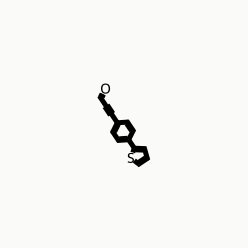 O=CC#Cc1ccc(-c2cccs2)cc1